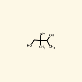 CCCC(C)(CO)C(C)O